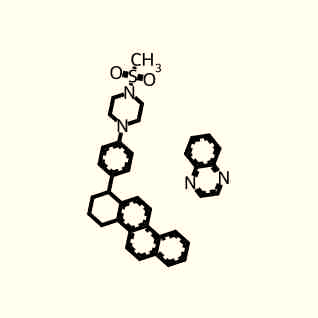 CS(=O)(=O)N1CCN(c2ccc(C3CCCc4c3ccc3c4ccc4ccccc43)cc2)CC1.c1ccc2nccnc2c1